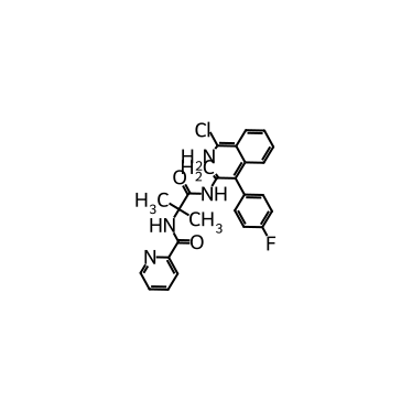 C=C(NC(=O)C(C)(C)NC(=O)c1ccccn1)/C(c1ccc(F)cc1)=c1/cccc/c1=C(/N)Cl